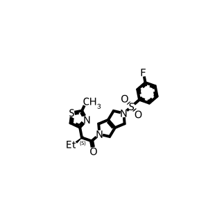 CC[C@H](C(=O)N1CC2=C(C1)CN(S(=O)(=O)c1cccc(F)c1)C2)c1csc(C)n1